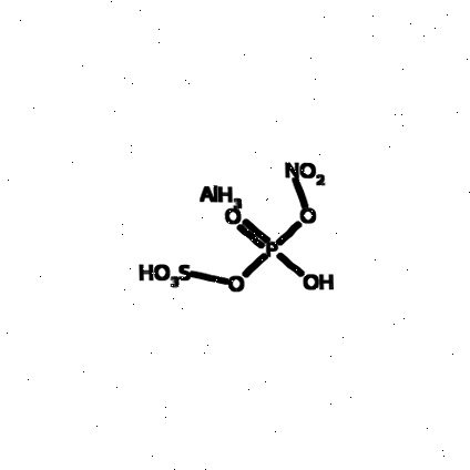 O=[N+]([O-])OP(=O)(O)OS(=O)(=O)O.[AlH3]